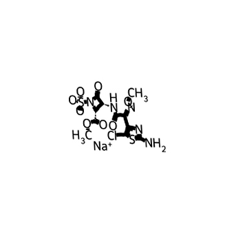 CO/N=C(\C(=O)N[C@H]1C(=O)N(S(=O)(=O)[O-])[C@H]1C(=O)OC)c1nc(N)sc1Cl.[Na+]